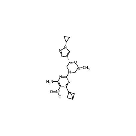 C[C@@H]1CN(c2nc(N)c([N+](=O)[O-])c(C34CC(C3)C4)n2)C[C@H](c2cnn(C3CC3)c2)O1